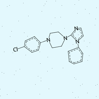 Clc1ccc(N2CCN(c3nccn3-c3ccccc3)CC2)cc1